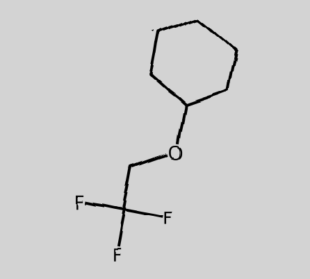 FC(F)(F)COC1C[CH]CCC1